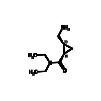 CCN(CC)C(=O)[C@@H]1C[C@@H]1CN